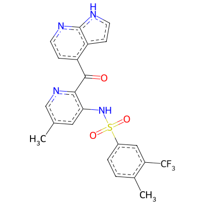 Cc1cnc(C(=O)c2ccnc3[nH]ccc23)c(NS(=O)(=O)c2ccc(C)c(C(F)(F)F)c2)c1